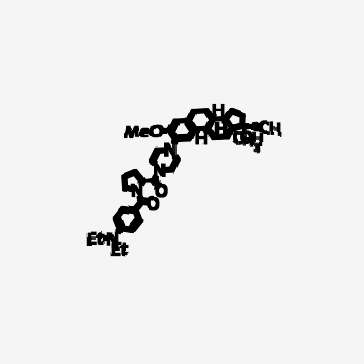 C#C[C@@]1(O)CC[C@H]2[C@@H]3CCc4cc(OC)c(N5CCN(C(=O)[C@@H]6CCCN6C(=O)c6ccc(N(CC)CC)cc6)CC5)cc4[C@H]3CC[C@@]21C